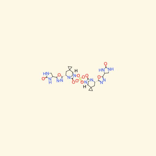 O=C1NCC(c2nnc([C@@H]3CC4(CC4)[C@@H]4CN3C(=O)N4OS(=O)(=O)ON3C(=O)N4C[C@H]3C3(CC3)C[C@H]4c3nnc(C4CNC(=O)N4)o3)o2)N1